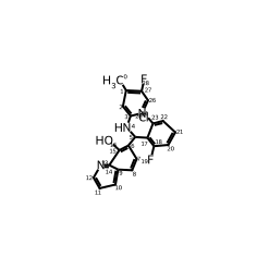 Cc1cc(NC(c2ccc3cccnc3c2O)c2c(F)cccc2Cl)ncc1F